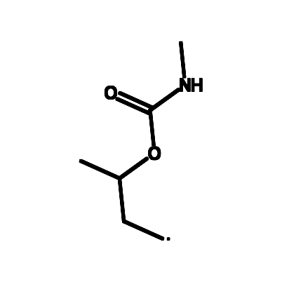 [CH2]CC(C)OC(=O)NC